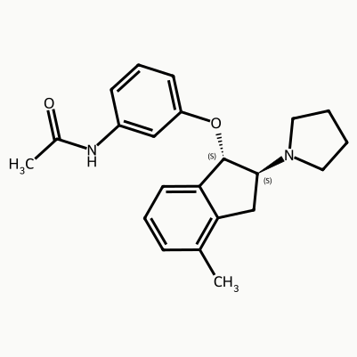 CC(=O)Nc1cccc(O[C@H]2c3cccc(C)c3C[C@@H]2N2CCCC2)c1